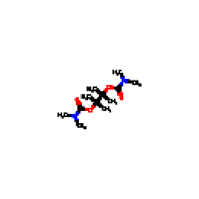 CN(C)C(=O)OC(C)(C)C(C)(C)OC(=O)N(C)C